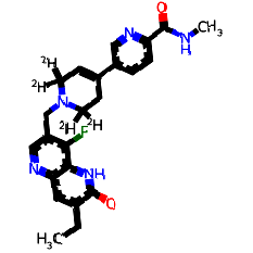 [2H]C1([2H])C=C(c2ccc(C(=O)NC)nc2)CC([2H])([2H])N1Cc1cnc2cc(CC)c(=O)[nH]c2c1F